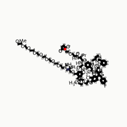 COCCOCCOCCOCCOCCOCCOCCOCCN(N)/C=C(\N)COCc1cc(NC(=O)CNC(=O)C(NC(=O)CCOCCN2C(=O)C=CC2=O)C(C)C)ccc1C[N+]1(C)CCN(CCOc2ccc(-c3c(-c4ccc(F)cc4)sc4ncnc(OC(Cc5ccccc5OCc5ccnc(-c6ccccc6OC)n5)C(=O)O)c34)c(C)c2Cl)CC1